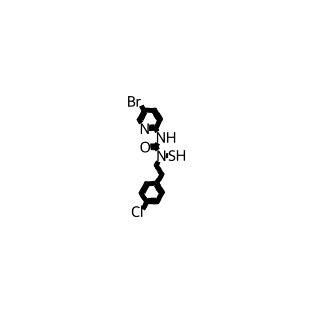 O=C(Nc1ccc(Br)cn1)N(S)CCc1ccc(Cl)cc1